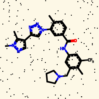 Cc1ccc(C(=O)Nc2cc(CN3CCCC3)c(C)c(C(F)(F)F)c2)cc1-n1cc(-c2cnn(C)c2C)nn1